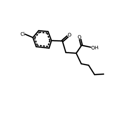 CCCCC(CC(=O)c1ccc(Cl)cc1)C(=O)O